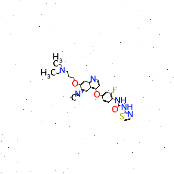 [C-]#[N+]c1cc2c(Oc3ccc(NC(=O)Nc4nccs4)c(F)c3)ccnc2cc1OCCCN(CC)CC